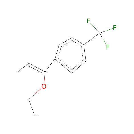 [CH2]COC(=CC)c1ccc(C(F)(F)F)cc1